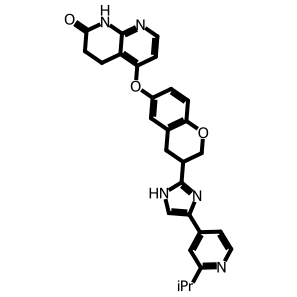 CC(C)c1cc(-c2c[nH]c(C3COc4ccc(Oc5ccnc6c5CCC(=O)N6)cc4C3)n2)ccn1